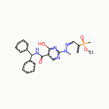 C=C(/C=N\N(C)c1ncc(C(=O)NC(c2ccccc2)c2ccccc2)c(O)n1)P(C)(=O)OCC